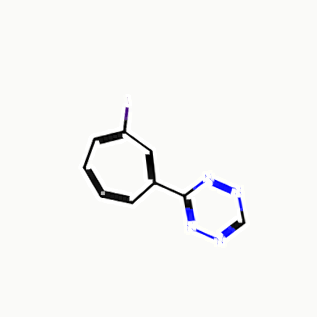 IC1=CC=C=CC(c2nncnn2)=C1